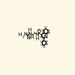 N=C(N)NCCNC(=O)c1cc(-c2ccccc2)nc2ccccc12